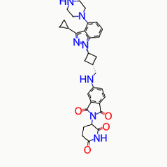 O=C1CCC(N2C(=O)c3ccc(NC[C@H]4C[C@H](n5nc(C6CC6)c6c(N7CCNCC7)cccc65)C4)cc3C2=O)C(=O)N1